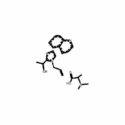 C=CCn1ccnc1C(C)O.CC(C(=O)O)N(C)C.c1ccc2ncccc2c1